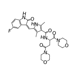 Cc1[nH]c(/C=C2\C(=O)Nc3ccc(F)cc32)c(C)c1C(=O)NC(CC(=O)N1CCOCC1)C(=O)N1CCOCC1